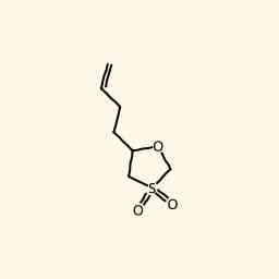 C=CCCC1CS(=O)(=O)CO1